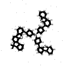 CC1(C)c2ccccc2-c2c1ccc1c2oc2c(-c3ccc(N(c4ccc(-c5cccc6c5SC5C=CC=CC65)cc4)c4ccc(-c5cccc6c5sc5ccccc56)cc4)cc3)cccc21